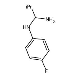 CC(C)C(N)Nc1ccc(F)cc1